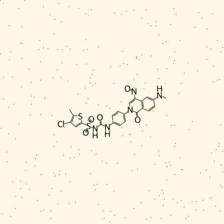 CNc1ccc2c(=O)n(-c3ccc(NC(=O)NS(=O)(=O)c4cc(Cl)c(C)s4)cc3)cc(N=O)c2c1